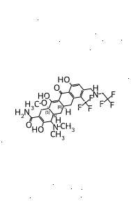 CO[C@@]12CC(C(N)=O)=C(O)C(N(C)C)[C@@H]1C[C@@H]1Cc3c(c(O)cc(CNCC(F)(F)F)c3C(F)(F)F)C(=O)C1=C2O